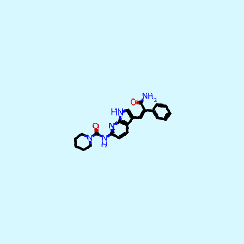 NC(=O)/C(=C\c1c[nH]c2nc(NC(=O)N3CCCCC3)ccc12)c1ccccc1